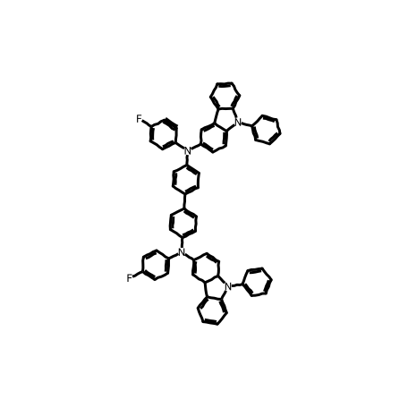 Fc1c#cc(N(c2ccc(-c3ccc(N(C4=CC5c6ccccc6N(c6ccccc6)C5C=C4)c4ccc(F)cc4)cc3)cc2)c2ccc3c(c2)c2ccccc2n3-c2ccccc2)cc1